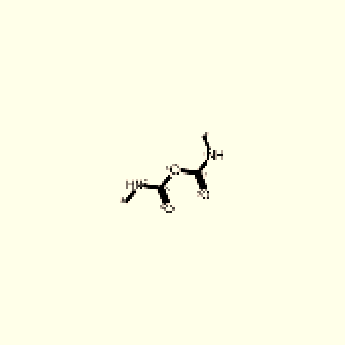 CNC(=O)OC(=O)NC